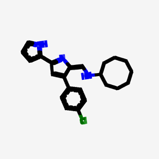 Clc1ccc(C2=CC(c3ccc[nH]3)=NC2=CNC2CCCCCCC2)cc1